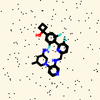 CC1CC(N)CN(c2ccncc2NCc2ccc(F)c(-c3c(F)cc(C4(O)CCC4)cc3F)n2)C1